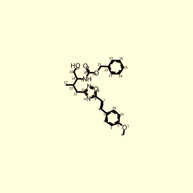 COc1ccc(C=Cc2nc(CC(C)C(CO)NC(=O)OCc3ccccc3)no2)cc1